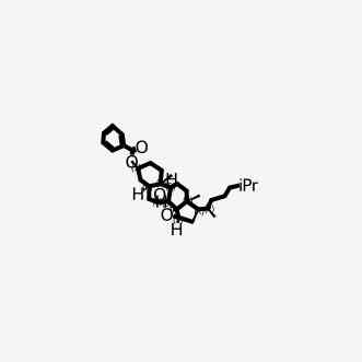 CC(C)CCC[C@@H](C)[C@H]1C[C@@H]2O[C@@]23[C@@]24O[C@@H]2C[C@H]2C[C@@H](OC(=O)c5ccccc5)CC[C@]2(C)[C@H]4CC[C@]13C